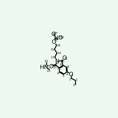 CCCOc1ccc2c(c1)C(=O)N(CCCCO[N+](=O)[O-])C2=O.CNC